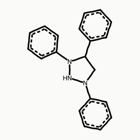 c1ccc(C2CN(c3ccccc3)NN2c2ccccc2)cc1